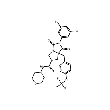 O=C(NN1CCOCC1)[C@H]1CN2C(=O)N(c3cc(Cl)cc(Cl)c3)C(=O)[C@]2(Cc2ccc(OC(F)(F)F)cc2)C1